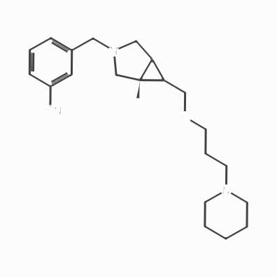 N#Cc1cccc(CN2CC3C(COCCCN4CCCCC4)[C@@H]3C2)c1